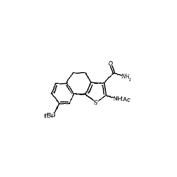 CC(=O)Nc1sc2c(c1C(N)=O)CCc1ccc(C(C)(C)C)cc1-2